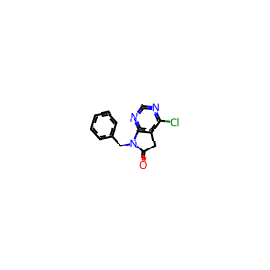 O=C1Cc2c(Cl)ncnc2N1Cc1ccccc1